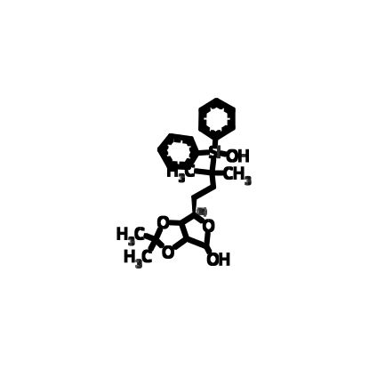 CC1(C)OC2C(O)O[C@H](CCC(C)(C)[Si](O)(c3ccccc3)c3ccccc3)C2O1